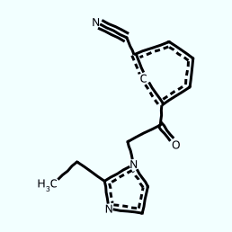 CCc1nccn1CC(=O)c1cccc(C#N)c1